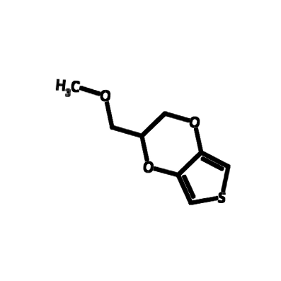 COCC1COc2cscc2O1